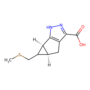 CSCC1[C@H]2c3[nH]nc(C(=O)O)c3C[C@@H]12